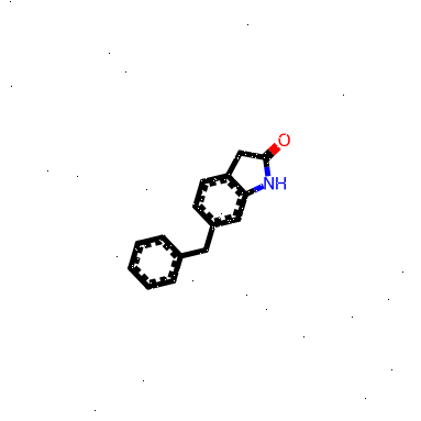 O=C1Cc2ccc(Cc3ccccc3)cc2N1